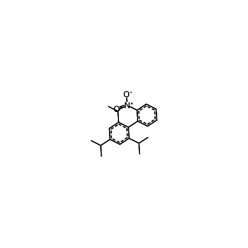 CC(C)c1cc(C(C)C)c(-c2ccccc2[N+](=O)[O-])c(C(C)C)c1